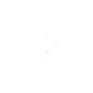 CCC(C(=O)O)c1cc2c(s1)C(OC)=c1ccccc1=CC2(O)C1CCN(C)CC1